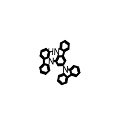 c1ccc2c(c1)[nH]c1c(-n3c4ccccc4c4ccccc43)cc(-n3c4ccccc4c4ccccc43)cc12